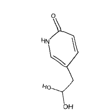 O=c1ccc(CC(O)O)c[nH]1